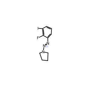 Fc1c(I)cccc1/N=N/N1CCCC1